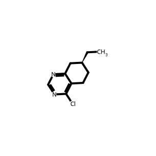 CC[C@H]1CCc2c(Cl)ncnc2C1